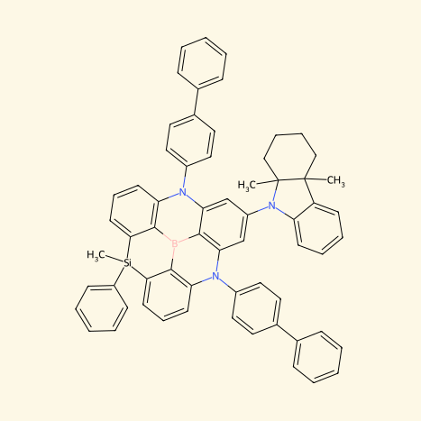 CC12CCCCC1(C)N(c1cc3c4c(c1)N(c1ccc(-c5ccccc5)cc1)c1cccc5c1B4c1c(cccc1[Si]5(C)c1ccccc1)N3c1ccc(-c3ccccc3)cc1)c1ccccc12